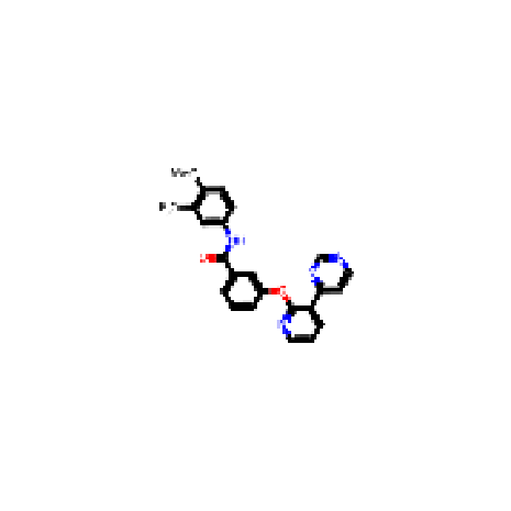 COc1ccc(NC(=O)c2cccc(Oc3ncccc3-c3ccncn3)c2)cc1C(F)(F)F